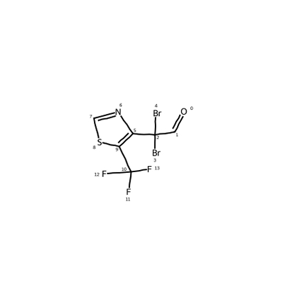 O=CC(Br)(Br)c1ncsc1C(F)(F)F